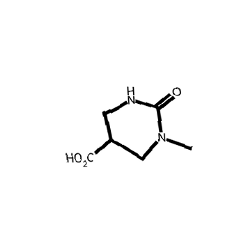 CN1CC(C(=O)O)CNC1=O